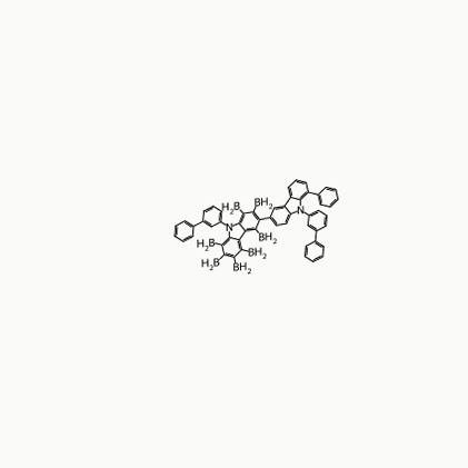 Bc1c(B)c(B)c2c(c1B)c1c(B)c(-c3ccc4c(c3)c3cccc(-c5ccccc5)c3n4-c3cccc(-c4ccccc4)c3)c(B)c(B)c1n2-c1cccc(-c2ccccc2)c1